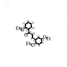 CCOc1ccc(OCC)c(C=CC(=O)c2ccccc2OCC)c1